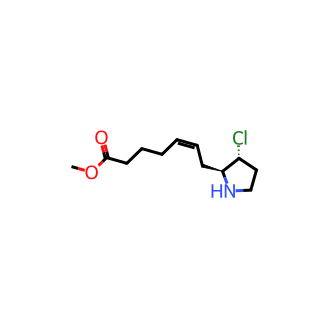 COC(=O)CCC/C=C\C[C@@H]1NCC[C@H]1Cl